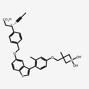 CC#C[C@@H](CC(=O)O)c1ccc(COc2ccc3scc(-c4ccc(OCC5(C)CS(O)(O)C5)cc4C)c3c2)cc1